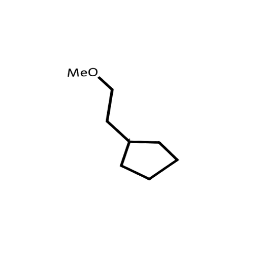 COCC[C]1CCCC1